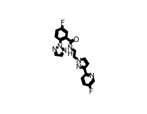 O=C(NCCn1ccc(-c2ccc(F)cn2)n1)c1cc(F)ccc1-n1nccn1